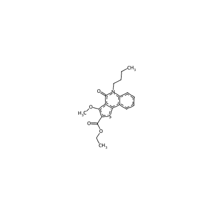 CCCCn1c(=O)c2c(OC)c(C(=O)OCC)sc2c2ccccc21